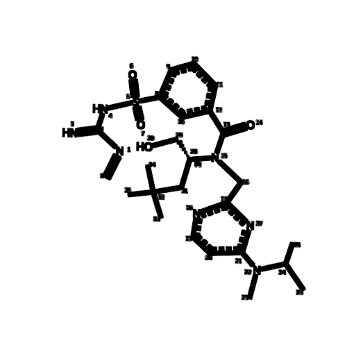 C=NC(=N)NS(=O)(=O)c1cccc(C(=O)N(Cc2nccc(N(C)C(C)C)n2)[C@@H](CO)CC(C)(C)C)c1